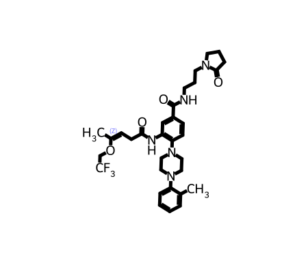 C/C(=C/CC(=O)Nc1cc(C(=O)NCCCN2CCCC2=O)ccc1N1CCN(c2ccccc2C)CC1)OCC(F)(F)F